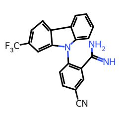 N#Cc1ccc(-n2c3ccccc3c3ccc(C(F)(F)F)cc32)c(C(=N)N)c1